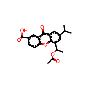 CC(=O)OC(C)c1cc(C(C)C)cc2c(=O)c3cc(C(=O)O)ccc3oc12